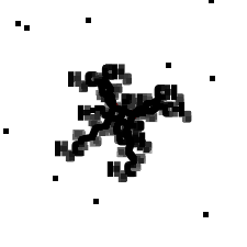 C=CC(C(P)(CCCCC)CCCCC)(C(P)(CCCCC)CCCCC)C(P)(CCCCC)CCCCC